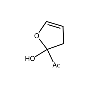 CC(=O)C1(O)CC=CO1